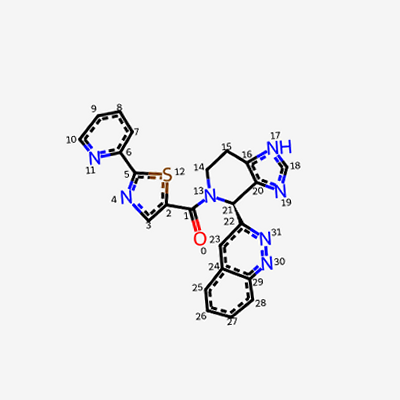 O=C(c1cnc(-c2ccccn2)s1)N1CCc2[nH]cnc2[C@H]1c1cc2ccccc2nn1